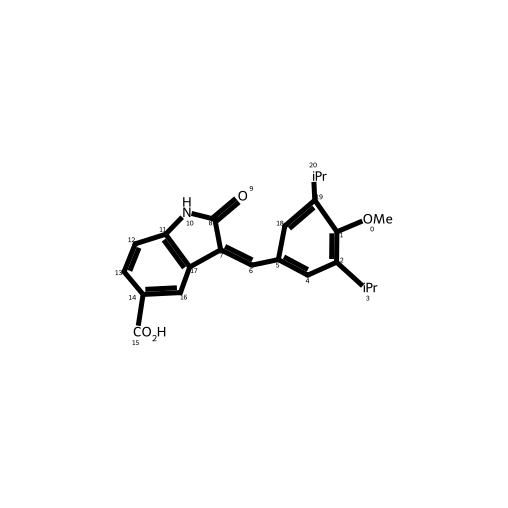 COc1c(C(C)C)cc(C=C2C(=O)Nc3ccc(C(=O)O)cc32)cc1C(C)C